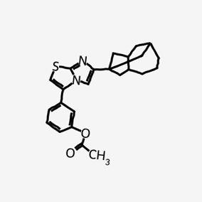 CC(=O)Oc1cccc(-c2csc3nc(C45CC6CCCC(C4)C(C6)C5)cn23)c1